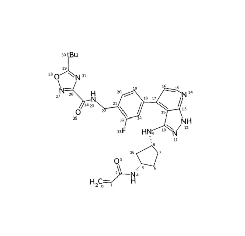 C=CC(=O)N[C@H]1CC[C@@H](Nc2n[nH]c3nccc(-c4ccc(CNC(=O)c5noc(C(C)(C)C)n5)c(F)c4)c23)C1